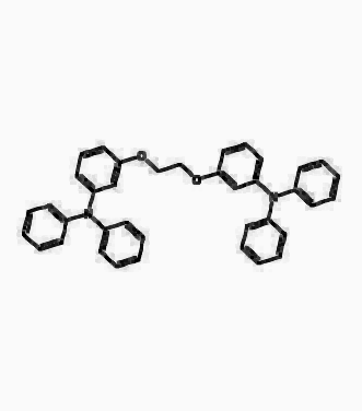 c1ccc(N(c2ccccc2)c2cccc(OCCOc3cccc(N(c4ccccc4)c4ccccc4)c3)c2)cc1